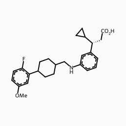 COc1ccc(F)c(C2CCC(CNc3cccc([C@@H](CC(=O)O)C4CC4)c3)CC2)c1